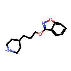 c1ccc2c(OCCCC3CCNCC3)noc2c1